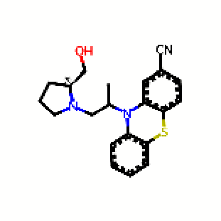 CC(CN1CCC[C@H]1CO)N1c2ccccc2Sc2ccc(C#N)cc21